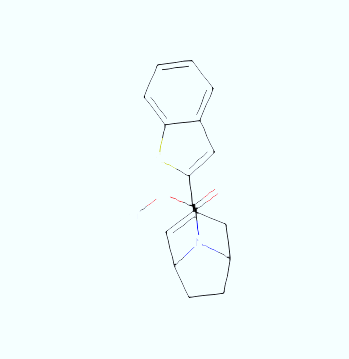 CC(C)(C)OC(=O)N1C2C=C(c3cc4ccccc4s3)CC1CC2